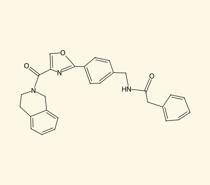 O=C(Cc1ccccc1)NCc1ccc(-c2nc(C(=O)N3CCc4ccccc4C3)co2)cc1